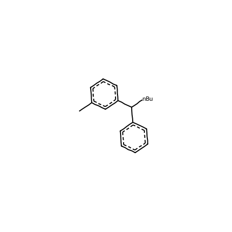 CCCCC(c1ccccc1)c1cccc(C)c1